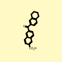 O=C(O)c1ccc2cc(C(=O)c3ccc4c(c3)CCCC4)ccc2c1